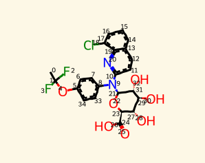 CC(F)(F)Oc1ccc(N(c2ccc3cccc(Cl)c3n2)[C@@H]2O[C@H](C(=O)O)[C@@H](O)[C@H](O)[C@H]2O)cc1